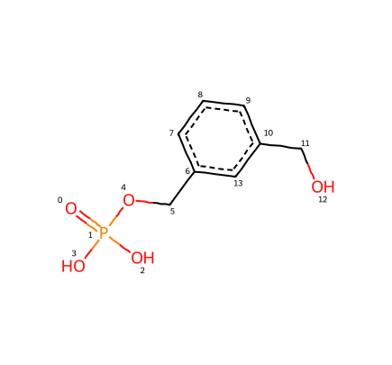 O=P(O)(O)OCc1cccc(CO)c1